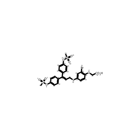 CS(=O)(=O)Oc1ccc(C(=CCSc2ccc(OCC(=O)O)c(Br)c2)c2ccc(OS(C)(=O)=O)cc2)cc1